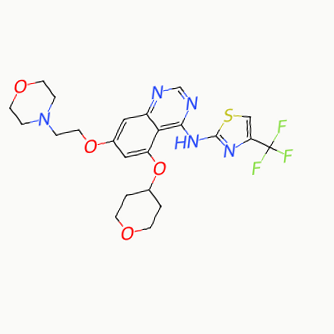 FC(F)(F)c1csc(Nc2ncnc3cc(OCCN4CCOCC4)cc(OC4CCOCC4)c23)n1